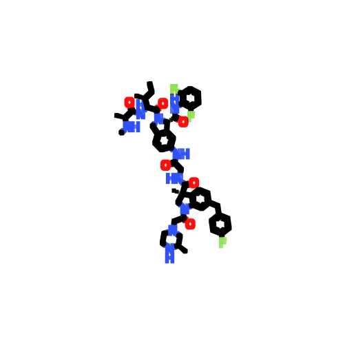 CC[C@H](C)[C@H](NC(=O)[C@H](C)NC)C(=O)N1Cc2ccc(NC(=O)CNC(=O)[C@]3(C)CN(C(=O)CN4CCN[C@H](C)C4)c4cc(Cc5ccc(F)cc5)ccc43)cc2[C@H]1C(=O)Nc1c(F)cccc1F